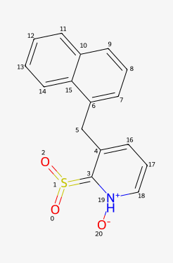 O=S(=O)=C1C(Cc2cccc3ccccc23)=CC=C[NH+]1[O-]